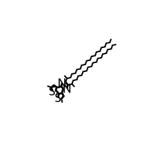 CCCCCCCCCCCCCCCCCCC(C)c1nc2c3cc(C)sc3c3sc(C)cc3c2nc1C(C)CCCCCCCCCCCCCCCCCC